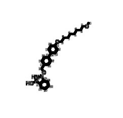 COCCCCCCCCOc1ccc(-c2ccc(CON3NN(O)c4ccccc43)cc2)cc1